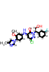 COc1cc(Nc2cc(Cl)nn([C@@H](CO)c3cccc(F)c3)c2=O)ccc1-n1cnc(C)c1